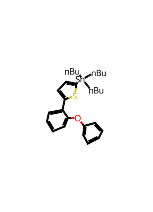 CCC[CH2][Sn]([CH2]CCC)([CH2]CCC)[c]1ccc(-c2ccccc2Oc2ccccc2)s1